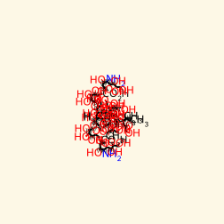 CC1C(O)[C@H](O[C@@H]2OC(CO[C@]3(C(=O)O)C[C@@H](O)[C@@H](N)C([C@H](O)C(O)CO)O3)[C@H](O)C(O)[C@@H]2O)[C@H](CO)O[C@H]1O[C@@H]1C(O)[C@H](O)C(CO)O[C@@H]1OCC1O[C@@H](O[C@@H](C)C(CO)O[C@@H](O[C@@H]2C(CO)O[C@@H](C)[C@@H](C)C2O)[C@@H](C)CO)[C@H](O)C(O[C@H]2O[C@H](CO)[C@@H](O)C(O)C2O[C@@H]2OC(CO)[C@@H](O[C@@H]3OC(CO[C@]4(C(=O)O)C[C@@H](O)[C@@H](N)C([C@H](O)C(O)CO)O4)[C@H](O)C(O)[C@@H]3O)C(O)[C@@H]2C)[C@@H]1O